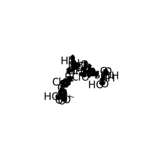 CCNc1nc(Cl)nc(NC(C)C)n1.CCc1cccc(C)c1N(C(=O)CCl)C(C)COC.C[S+](C)C.O=C(O)CNCP(=O)([O-])O.O=C(O)c1cc(Oc2ccc(C(F)(F)F)cc2Cl)ccc1[N+](=O)[O-]